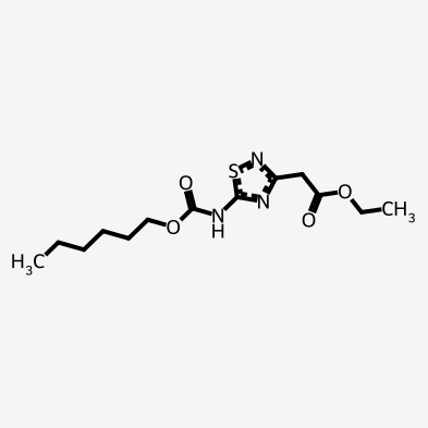 CCCCCCOC(=O)Nc1nc(CC(=O)OCC)ns1